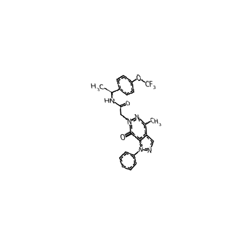 Cc1nn(CC(=O)NC(C)c2ccc(OC(F)(F)F)cc2)c(=O)c2c1cnn2-c1ccccc1